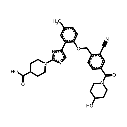 Cc1ccc(OCc2ccc(C(=O)N3CCC(O)CC3)cc2C#N)c(-c2csc(N3CCC(C(=O)O)CC3)n2)c1